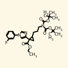 CCOC(=O)C1(c2cn(-c3cccc(F)c3)cn2)CC1CCCN(C(=O)OC(C)(C)C)C(=O)OC(C)(C)C